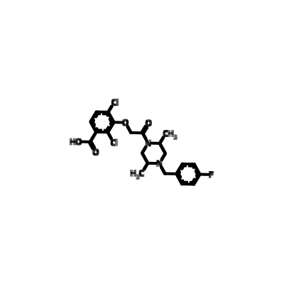 CC1CN(C(=O)COc2c(Cl)ccc(C(=O)O)c2Cl)C(C)CN1Cc1ccc(F)cc1